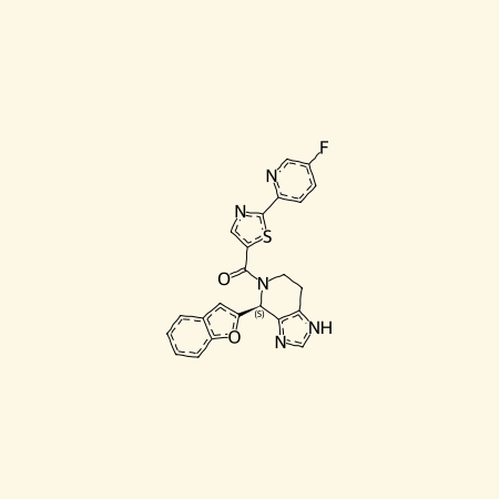 O=C(c1cnc(-c2ccc(F)cn2)s1)N1CCc2[nH]cnc2[C@H]1c1cc2ccccc2o1